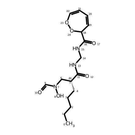 CCCCC[C@H](CN(O)C=O)C(=O)NCNC(=O)C1C=CC=COO1